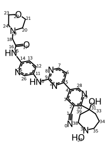 N#Cc1cc(-c2ccnc(Nc3ccc(NC(=O)CN4CCOCC4)nc3)n2)cnc1C1(O)CCCN(O)CC1